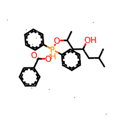 CC(C)CC(O)CC(C)O[PH](OC(=O)c1ccccc1)(c1ccccc1)c1ccccc1